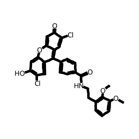 COc1cccc(CCNC(=O)c2ccc(-c3c4cc(Cl)c(=O)cc-4oc4cc(O)c(Cl)cc34)cc2)c1OC